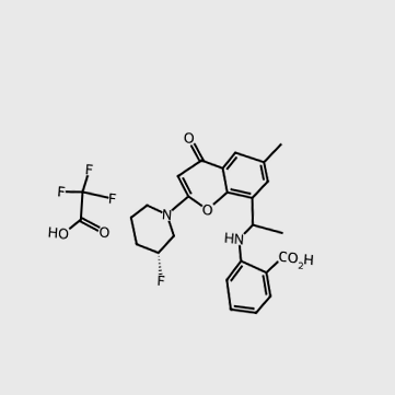 Cc1cc(C(C)Nc2ccccc2C(=O)O)c2oc(N3CCC[C@@H](F)C3)cc(=O)c2c1.O=C(O)C(F)(F)F